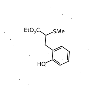 CCOC(=O)C(Cc1ccccc1O)SC